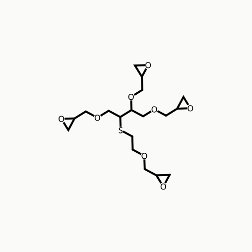 C(CSC(COCC1CO1)C(COCC1CO1)OCC1CO1)OCC1CO1